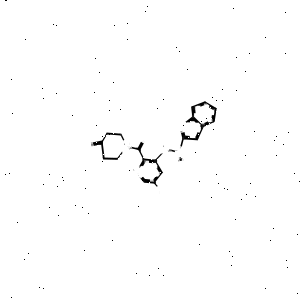 O=C1CCN(C(=O)c2ncc(Cl)cc2N[S+]([O-])c2cc3ccccc3o2)CC1